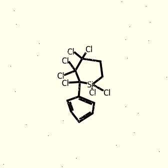 ClC1(Cl)CC[Si](Cl)(Cl)C(Cl)(c2ccccc2)C1(Cl)Cl